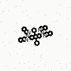 c1ccc2cc(N(c3ccc4c(C5CCCCC5)c5ccc(N(c6cc7ccccc7cn6)c6nccc7ccccc67)cc5c(C5CCCCC5)c4c3)c3cc4ccccc4cn3)ncc2c1